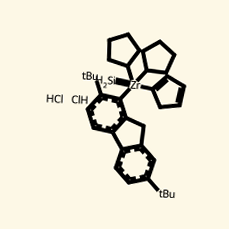 CC(C)(C)c1ccc2c(c1)Cc1c-2ccc(C(C)(C)C)[c]1[Zr](=[SiH2])([C]1=CC=CC1)([CH]1CCCC1)[CH]1CCCC1.Cl.Cl